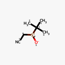 CC(C)(C)[S+]([O-])CC#N